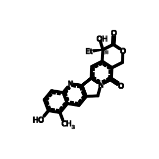 CC[C@@]1(O)C(=O)OCc2c1cc1n(c2=O)Cc2cc3c(C)c(O)ccc3nc2-1